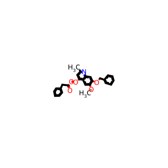 COc1cc2c(OOC(=O)Cc3ccccc3)cc(C)nc2cc1OCc1ccccc1